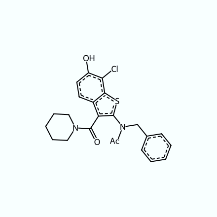 CC(=O)N(Cc1ccccc1)c1sc2c(Cl)c(O)ccc2c1C(=O)N1CCCCC1